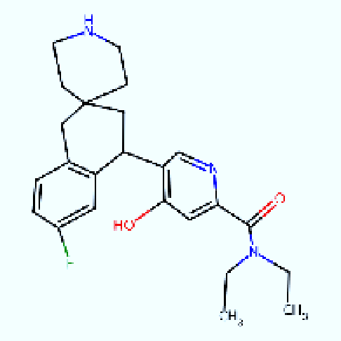 CCN(CC)C(=O)c1cc(O)c(C2CC3(CCNCC3)Cc3ccc(F)cc32)cn1